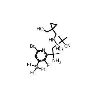 CC[Si](CC)(CC)c1cc(Br)nc([C@@](C)(N)C[SH](=O)(NCC2(CO)CC2)C(C)(C)C#N)c1F